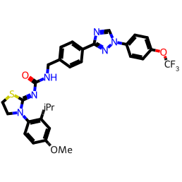 COc1ccc(N2CCS/C2=N\C(=O)NCc2ccc(-c3ncn(-c4ccc(OC(F)(F)F)cc4)n3)cc2)c(C(C)C)c1